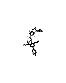 C=CCc1cc(-c2cnc(C)nc2)cc2c(C(C)=O)nn(CC(=O)N3[C@H](C)C[C@@]4(CN(C)C(=O)CCCC)C[C@@H]34)c12